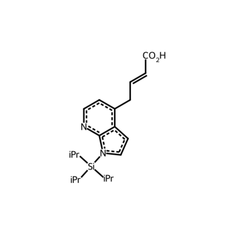 CC(C)[Si](C(C)C)(C(C)C)n1ccc2c(CC=CC(=O)O)ccnc21